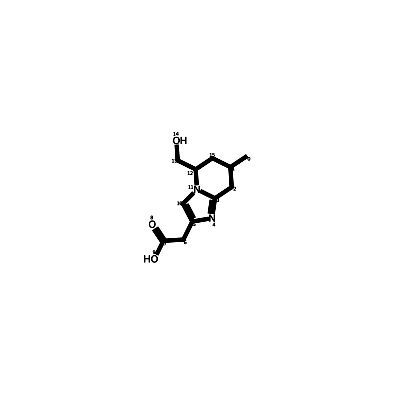 CC1Cc2nc(CC(=O)O)cn2C(CO)C1